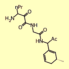 CCCC(N)C(=O)C(=O)NCC(=O)NC(C(C)=O)C1=C[C@H](C)CC=C1